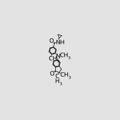 Cc1ccc(C(=O)NC2CC2)cc1N(C)c1ccc2c(c1)CC(C)(C)C2=O